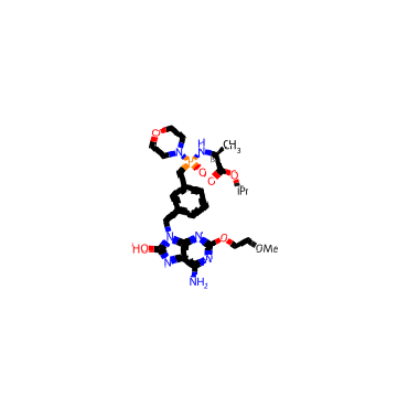 COCCOc1nc(N)c2nc(O)n(Cc3cccc(CP(=O)(N[C@@H](C)C(=O)OC(C)C)N4CCOCC4)c3)c2n1